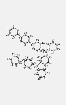 c1ccc(-c2ccc(-c3ccc(N(c4ccccc4)c4ccc5c(c4)C(c4ccc(-c6ccccc6)cc4)c4ccccc4-5)cc3)cc2)cc1